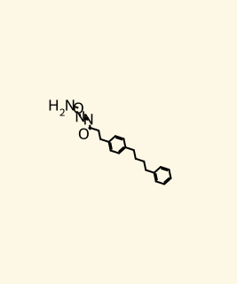 NON=NC(=O)CCc1ccc(CCCCc2ccccc2)cc1